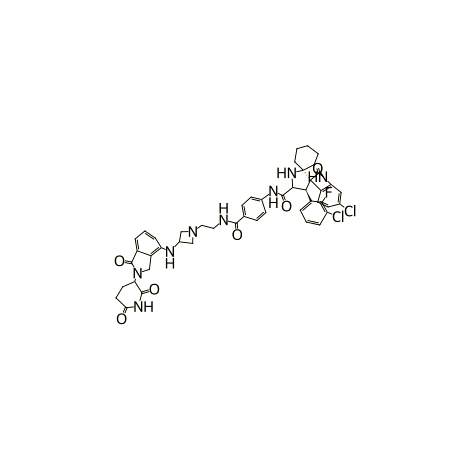 O=C1CCC(N2Cc3c(NC4CN(CCNC(=O)c5ccc(NC(=O)C6NC7(CCCCC7)[C@@]7(C(=O)Nc8cc(Cl)ccc87)[C@H]6c6cccc(Cl)c6F)cc5)C4)cccc3C2=O)C(=O)N1